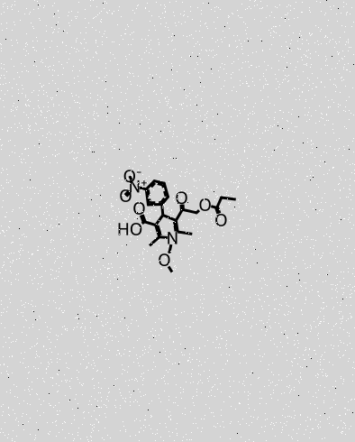 CCC(=O)OCC(=O)C1=C(C)N(COC)C(C)=C(C(=O)O)C1c1cccc([N+](=O)[O-])c1